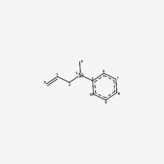 C=CC[Si](C)c1ccccc1